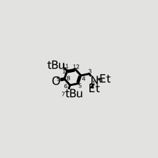 CCN(CC)CC1=CC(C(C)(C)C)C(=O)C(C(C)(C)C)=C1